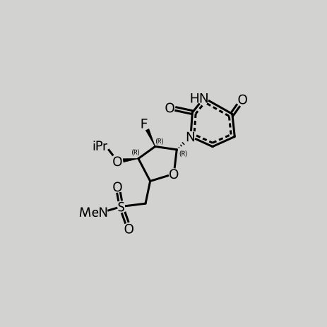 CNS(=O)(=O)CC1O[C@@H](n2ccc(=O)[nH]c2=O)[C@H](F)[C@@H]1OC(C)C